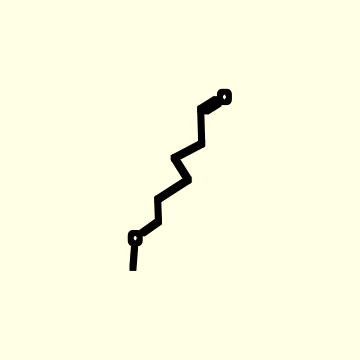 COCCCCCC=O